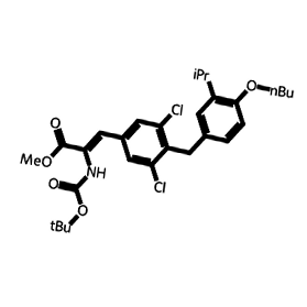 CCCCOc1ccc(Cc2c(Cl)cc(/C=C(\NC(=O)OC(C)(C)C)C(=O)OC)cc2Cl)cc1C(C)C